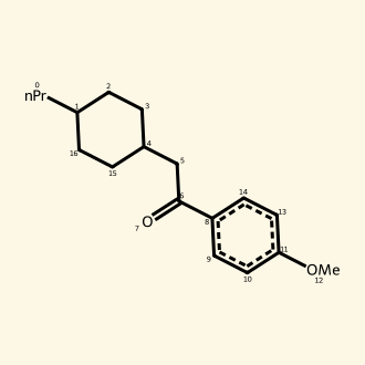 CCCC1CCC(CC(=O)c2ccc(OC)cc2)CC1